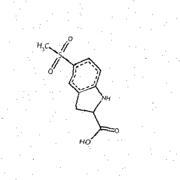 CS(=O)(=O)c1ccc2c(c1)CC(C(=O)O)N2